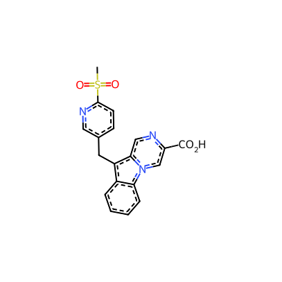 CS(=O)(=O)c1ccc(Cc2c3ccccc3n3cc(C(=O)O)ncc23)cn1